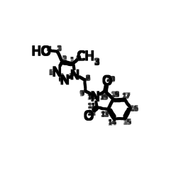 Cc1c(CO)nnn1CCN1C(=O)c2ccccc2C1=O